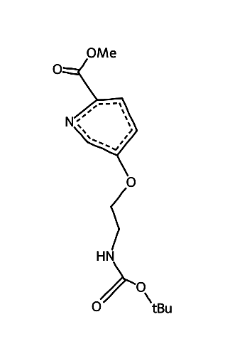 COC(=O)c1ccc(OCCNC(=O)OC(C)(C)C)cn1